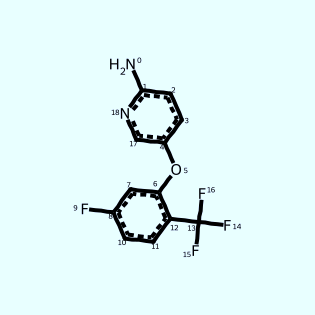 Nc1ccc(Oc2cc(F)ccc2C(F)(F)F)cn1